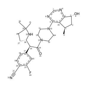 C[C@@H]1C[C@@H](O)c2ncnc(N3CCN(C(=O)[C@@H](c4ccc(C#N)c(F)c4)[C@@H]4CCC(C)(C)N4)CC3)c21